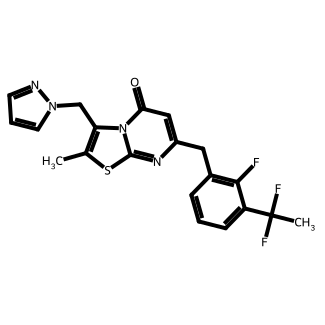 Cc1sc2nc(Cc3cccc(C(C)(F)F)c3F)cc(=O)n2c1Cn1cccn1